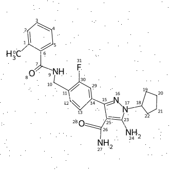 Cc1ccccc1C(=O)NCc1ccc(-c2nn(C3CCCC3)c(N)c2C(N)=O)cc1F